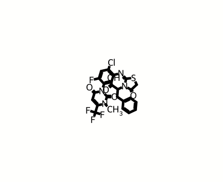 Cn1c(C(F)(F)F)cc(=O)n(-c2cc(N=C3SCC(=O)N3C(Cc3ccccc3)C(=O)O)c(Cl)cc2F)c1=O